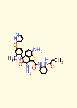 C=CC(=O)N[C@H]1CCCC[C@H]1NC(=O)c1sc2c(N)ccc3c2c1C(N)C(=O)C3(N)c1ccc(Oc2cccnn2)cc1C